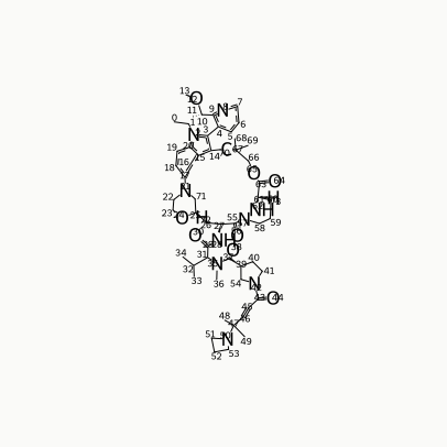 CCn1c(-c2cccnc2[C@H](C)OC)c2c3cc(ccc31)N1CCO[C@@H](C[C@H](NC(=O)C(C(C)C)N(C)C(=O)[C@H]3CCN(C(=O)C#CC(C)(C)N4CCC4)C3)C(=O)N3CCC[C@H](N3)C(=O)OCC(C)(C)C2)C1